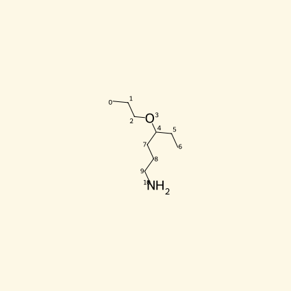 CCCOC(CC)CCCN